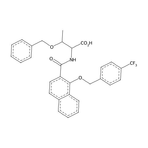 CC(OCc1ccccc1)C(NC(=O)c1ccc2ccccc2c1OCc1ccc(C(F)(F)F)cc1)C(=O)O